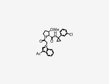 CO[C@@H]1CCN(C(=O)Cn2cc(C(C)=O)c3ccccc32)[C@@H]1C(=O)NC1(c2cccc(Cl)c2)CC1